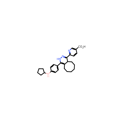 O=C(O)c1ccc(C2=NNC(c3ccc(BC4CCCC4)cc3)=C3CCCCCCC23)nc1